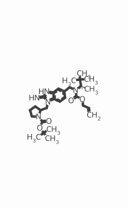 C=CCOC(=O)N(Cc1ccc2c(c1)[nH]c(=N)n2CC1CCCN1C(=O)OC(C)(C)C)[C@@H](C)C(C)(C)C